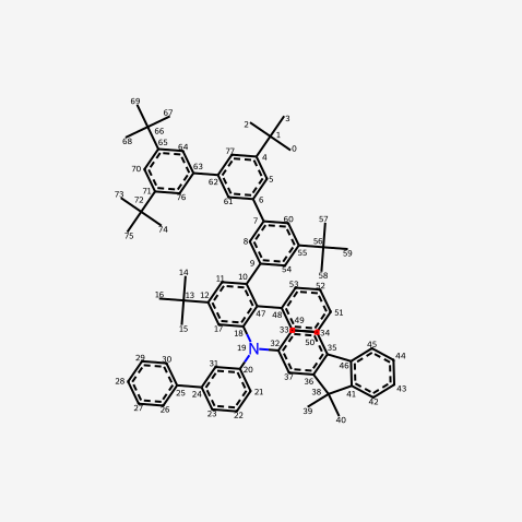 CC(C)(C)c1cc(-c2cc(-c3cc(C(C)(C)C)cc(N(c4cccc(-c5ccccc5)c4)c4ccc5c(c4)C(C)(C)c4ccccc4-5)c3-c3ccccc3)cc(C(C)(C)C)c2)cc(-c2cc(C(C)(C)C)cc(C(C)(C)C)c2)c1